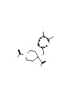 C[C@@H]1C[C@](Cc2ccc(F)c(Cl)n2)(C(=O)O)CCN1C(=O)O